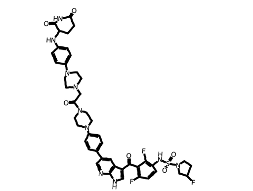 O=C1CCC(Nc2ccc(N3CCN(CC(=O)N4CCN(c5ccc(-c6cnc7[nH]cc(C(=O)c8c(F)ccc(NS(=O)(=O)N9CCC(F)C9)c8F)c7c6)cc5)CC4)CC3)cc2)C(=O)N1